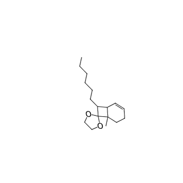 CCCCCCC1C2C=CCCC2(C)C12OCCO2